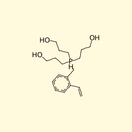 C=Cc1ccccc1C[PH](CCCO)(CCCO)CCCO